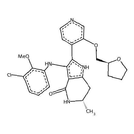 COc1c(Cl)cccc1Nc1c(-c2ccncc2OC[C@@H]2CCCO2)[nH]c2c1C(=O)N[C@@H](C)C2